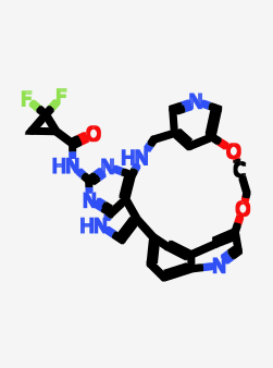 O=C(Nc1nc2c3c(c[nH]c3n1)-c1ccc3ncc(cc3c1)OCCOc1cncc(c1)CN2)C1CC1(F)F